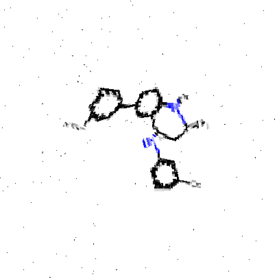 CCc1cccc(N[C@@H]2C[C@H](C)N(C(C)=O)c3ccc(-c4cccc(NC(C)=O)c4)cc32)c1